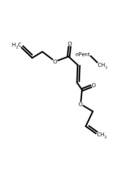 C=CCOC(=O)C=CC(=O)OCC=C.CCCCCC